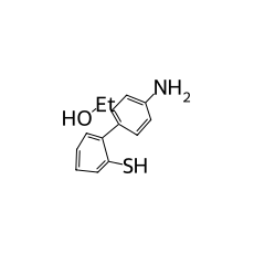 CCO.Nc1ccc(-c2ccccc2S)cc1